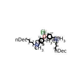 CCCCCCCCCCCCCC[N+](C)(C)Cc1ccc(Oc2ccc(C[N+](C)(C)CCCCCCCCCCCCCC)cc2)cc1.[Cl-].[Cl-]